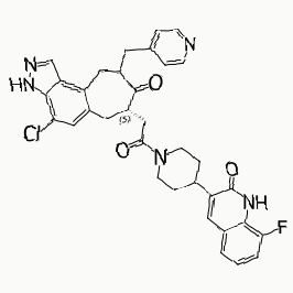 O=C1C(Cc2ccncc2)Cc2c(cc(Cl)c3[nH]ncc23)C[C@H]1CC(=O)N1CCC(c2cc3cccc(F)c3[nH]c2=O)CC1